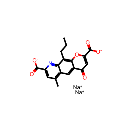 CCCc1c2nc(C(=O)[O-])cc(C)c2cc2c(=O)cc(C(=O)[O-])oc12.[Na+].[Na+]